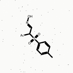 CC(=O)C(C=NO)S(=O)(=O)c1ccc(C)cc1